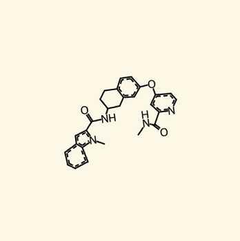 CNC(=O)c1cc(Oc2ccc3c(c2)CC(NC(=O)c2cc4ccccc4n2C)CC3)ccn1